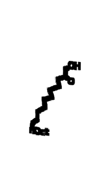 CCCCCCCCCCCCCCCCCC(=O)CO